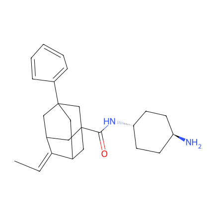 CC=C1C2CC3(C(=O)N[C@H]4CC[C@H](N)CC4)CC1CC(c1ccccc1)(C2)C3